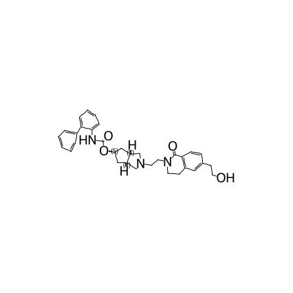 O=C(Nc1ccccc1-c1ccccc1)O[C@H]1C[C@@H]2CN(CCN3CCc4cc(CCO)ccc4C3=O)C[C@@H]2C1